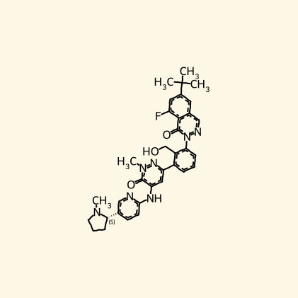 CN1CCC[C@H]1c1ccc(Nc2cc(-c3cccc(-n4ncc5cc(C(C)(C)C)cc(F)c5c4=O)c3CO)nn(C)c2=O)nc1